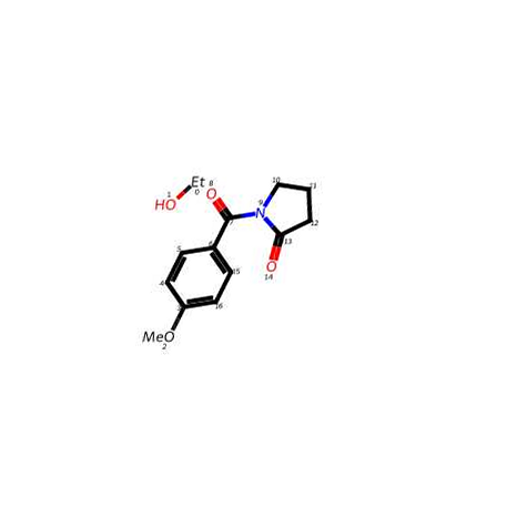 CCO.COc1ccc(C(=O)N2CCCC2=O)cc1